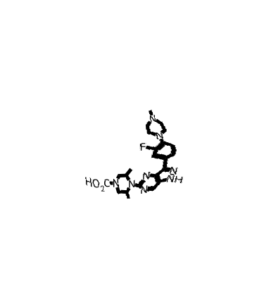 CC1CN(C(=O)O)CC(C)N1c1ncc2[nH]nc(-c3ccc(N4CCN(C)CC4)c(F)c3)c2n1